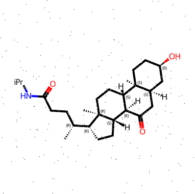 CC(C)NC(=O)CC[C@@H](C)[C@H]1CC[C@H]2[C@@H]3C(=O)C[C@@H]4C[C@H](O)CC[C@]4(C)[C@H]3CC[C@]12C